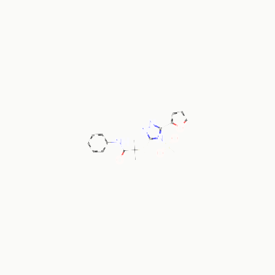 CC(C)(Sc1nnc(-c2ccco2)n1S(C)(=O)=O)C(=O)Nc1ccccc1